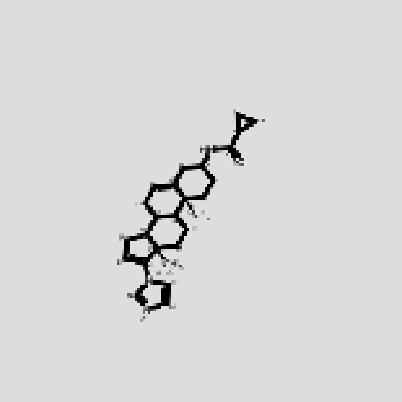 C[C@]12CCC(NC(=O)C3CC3)CC1=CCC1C2CC[C@]2(C)C(n3ccnc3)=CCC12